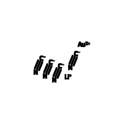 [Au+3].[C-]#N.[C-]#N.[C-]#N.[C-]#N.[Li+]